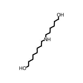 OCCCCCCCCNCCCCCCO